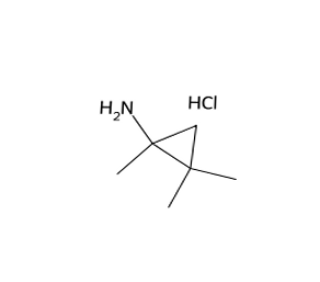 CC1(C)CC1(C)N.Cl